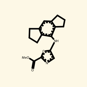 COC(=O)c1ncc(Nc2c3c(cc4c2CCC4)CCC3)o1